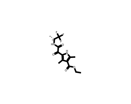 CCOC(=O)c1c(C)[nH]c(C(=O)C(=O)N[C@H](C)C(F)(F)F)c1C